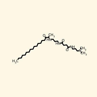 CCCCCCCCCCCCCCCC(=O)C(C)NCCCNC(=O)CCC(=O)NCCCN(C)C